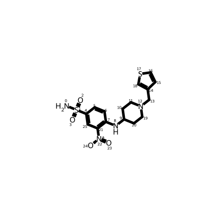 NS(=O)(=O)c1ccc(NC2CCN(Cc3ccsc3)CC2)c([N+](=O)[O-])c1